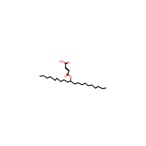 CCCCCCCCCCC(CCCCCCCCC)OC(=O)C=CC(=O)O